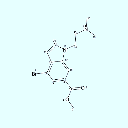 COC(=O)c1cc(Br)c2cnn(CCN(C)C)c2c1